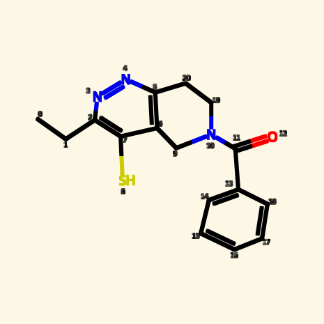 CCc1nnc2c(c1S)CN(C(=O)c1ccccc1)CC2